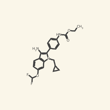 CCOC(=O)Nc1ccc(-c2c(N)c3ccc(OC(F)F)cc3n2CC2CC2)cc1